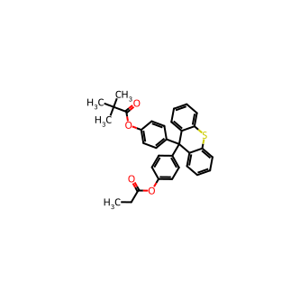 CCC(=O)Oc1ccc(C2(c3ccc(OC(=O)C(C)(C)C)cc3)c3ccccc3Sc3ccccc32)cc1